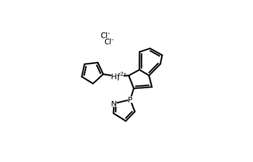 C1=CC[C]([Hf+2][CH]2C(p3cccn3)=Cc3ccccc32)=C1.[Cl-].[Cl-]